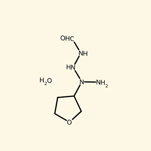 NN(NNC=O)C1CCOC1.O